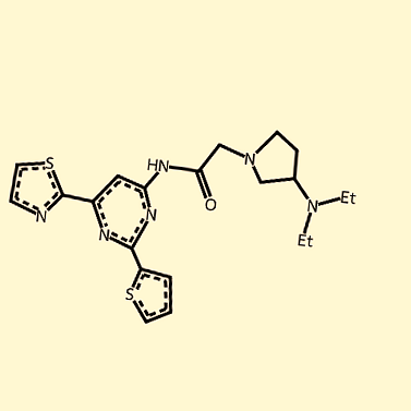 CCN(CC)C1CCN(CC(=O)Nc2cc(-c3nccs3)nc(-c3cccs3)n2)C1